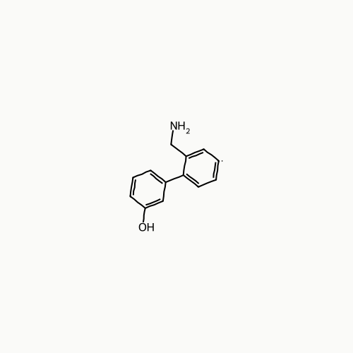 NCc1c[c]ccc1-c1cccc(O)c1